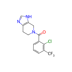 O=C(c1cccc(C(F)(F)F)c1Cl)N1CCc2nc[nH]c2C1